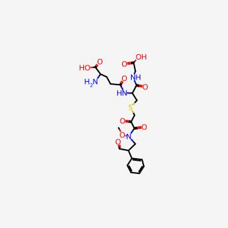 CON(CC(C=O)c1ccccc1)C(=O)C(=O)CSCC(NC(=O)CCC(N)C(=O)O)C(=O)NCC(=O)O